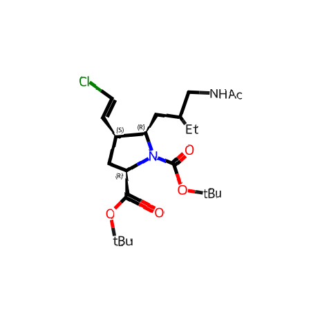 CCC(CNC(C)=O)C[C@@H]1[C@H](C=CCl)C[C@H](C(=O)OC(C)(C)C)N1C(=O)OC(C)(C)C